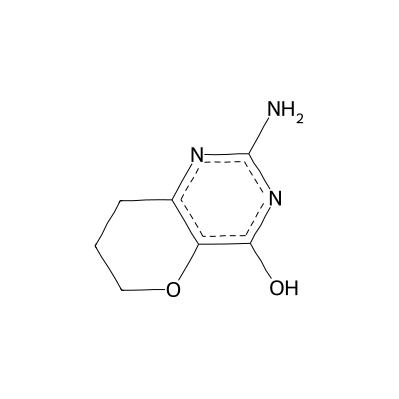 Nc1nc(O)c2c(n1)CCCO2